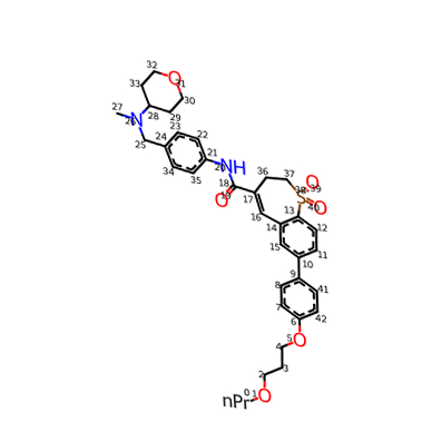 CCCOCCCOc1ccc(-c2ccc3c(c2)C=C(C(=O)Nc2ccc(CN(C)C4CCOCC4)cc2)CCS3(=O)=O)cc1